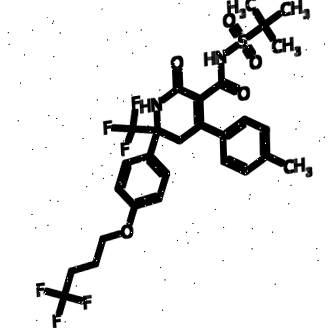 Cc1ccc(C2=C(C(=O)NS(=O)(=O)C(C)(C)C)C(=O)NC(c3ccc(OCCCC(F)(F)F)cc3)(C(F)(F)F)C2)cc1